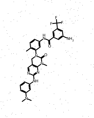 Cc1ccc(NC(=O)c2cc(N)cc(C(F)(F)F)c2)cc1N1Cc2cnc(Nc3cccc(N(C)C)c3)nc2N(C)C1=O